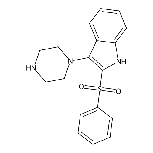 O=S(=O)(c1ccccc1)c1[nH]c2ccccc2c1N1CCNCC1